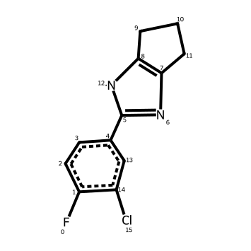 Fc1ccc(C2=NC3=C(CCC3)[N]2)cc1Cl